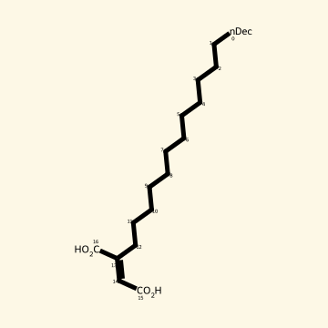 CCCCCCCCCCCCCCCCCCCCCC/C(=C\C(=O)O)C(=O)O